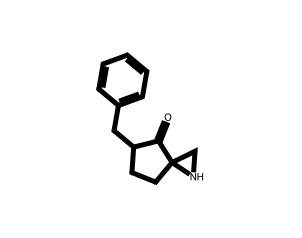 O=C1C(Cc2ccccc2)CCC12CN2